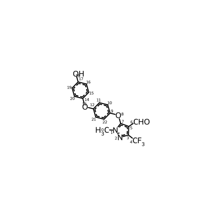 Cn1nc(C(F)(F)F)c(C=O)c1Oc1ccc(Oc2ccc(O)cc2)cc1